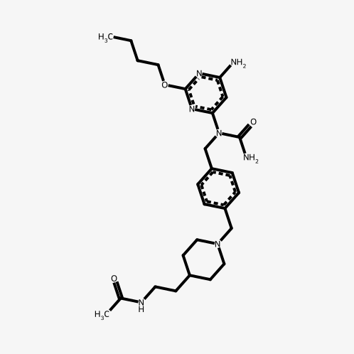 CCCCOc1nc(N)cc(N(Cc2ccc(CN3CCC(CCNC(C)=O)CC3)cc2)C(N)=O)n1